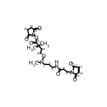 CN(CCCNC(=O)CCN1C(=O)C=CC1=O)OCCC(C)(C)C(=O)ON1C(=O)CCC1=O